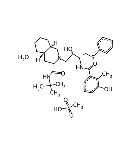 CS(=O)(=O)O.Cc1c(O)cccc1C(=O)N[C@@H](CSc1ccccc1)[C@H](O)CN1C[C@H]2CCCC[C@H]2C[C@H]1C(=O)NC(C)(C)C.O